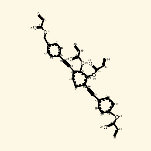 C=CC(=O)OCc1ccc(C#Cc2ccc(C#Cc3ccc(OC(=O)C=C)cc3)c(OC(=O)C=C)c2OC(=O)C=C)cc1